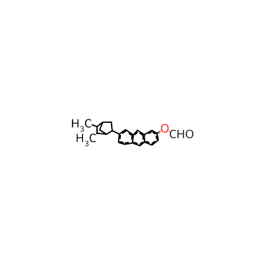 CC1C2CC(c3ccc4cc5ccc(OC=O)cc5cc4c3)C(C2)C1C